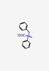 C[N+](Cc1ccccc1)(C(=O)[O-])c1ccccc1